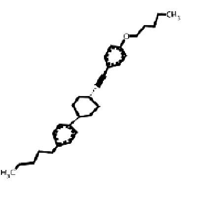 CCCCCOc1ccc(C#C[C@H]2CC[C@H](c3ccc(CCCCC)cc3)CC2)cc1